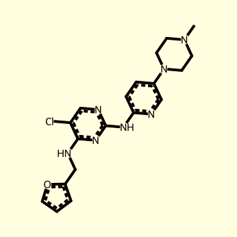 CN1CCN(c2ccc(Nc3ncc(Cl)c(NCc4ccco4)n3)nc2)CC1